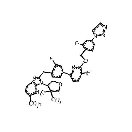 CC1(C)COCC1n1c(Cc2ccc(-c3ccc(F)c(OCc4ccc(-n5ccnn5)cc4F)n3)cc2F)nc2ccc(C(=O)O)cc21